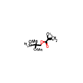 C=C(C)C(=O)OCC([SiH3])(OC)OC